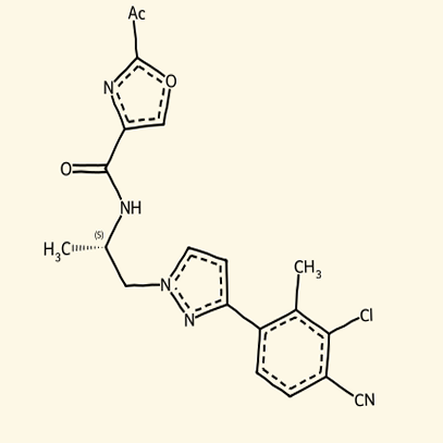 CC(=O)c1nc(C(=O)N[C@@H](C)Cn2ccc(-c3ccc(C#N)c(Cl)c3C)n2)co1